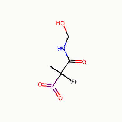 CCC(C)(C(=O)NCO)P(=O)=O